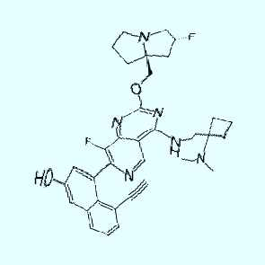 C#Cc1cccc2cc(O)cc(-c3ncc4c(NCC5(N(C)C)CCC5)nc(OC[C@@]56CCCN5C[C@H](F)C6)nc4c3F)c12